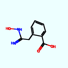 N=C(Cc1ccccc1C(=O)O)NO